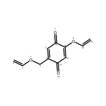 C=COCC1=CC(=O)C(OC=C)=CC1=O